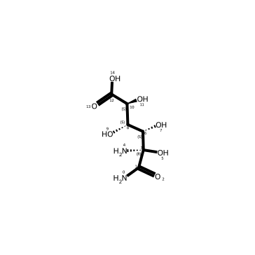 NC(=O)[C@](N)(O)[C@@H](O)[C@H](O)[C@H](O)C(=O)O